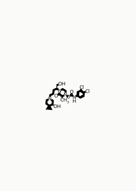 C[C@H]1C(=O)N([C@H](CO)CCCN2CCC3(CC3)[C@H](O)C2)CCN1OC(=O)Nc1ccc(Cl)c(Cl)c1